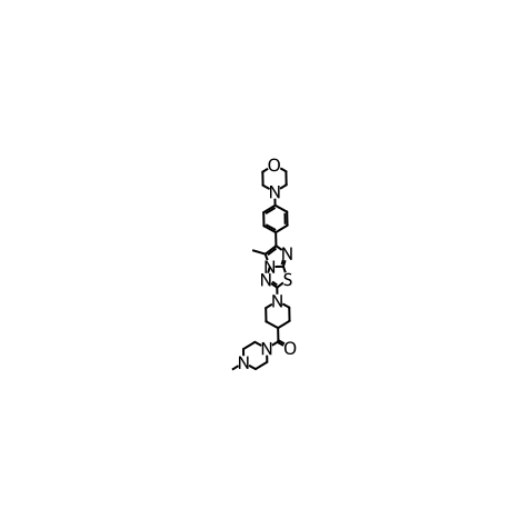 Cc1c(-c2ccc(N3CCOCC3)cc2)nc2sc(N3CCC(C(=O)N4CCN(C)CC4)CC3)nn12